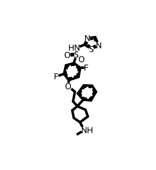 CNC1CCC(CCOc2cc(F)c(S(=O)(=O)Nc3ncns3)cc2F)(c2ccccc2)CC1